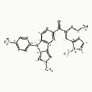 Cn1cc2c3cc(C(=O)N(CCO)Cc4ccnn4C)ccc3n(-c3ccc(C(F)(F)F)cc3)c2n1